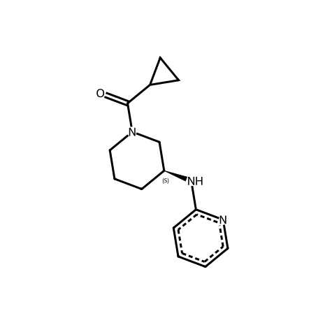 O=C(C1CC1)N1CCC[C@H](Nc2ccccn2)C1